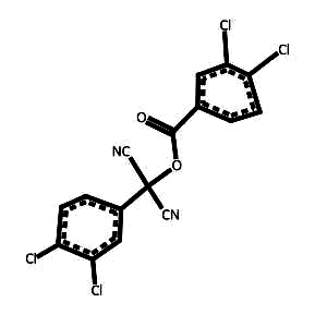 N#CC(C#N)(OC(=O)c1ccc(Cl)c(Cl)c1)c1ccc(Cl)c(Cl)c1